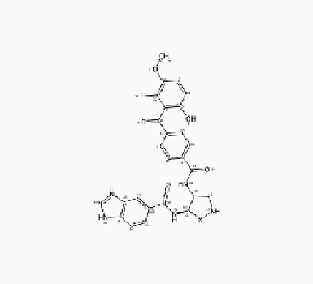 COc1ccc(O)c(C(=O)c2ccc(C(=O)NC3CNC[C@H]3NC(=O)c3ccc4[nH]nnc4c3)cc2)c1F